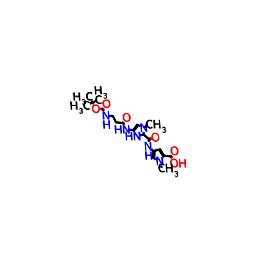 CN1C=C(NC(=O)CCNC(=O)OC(C)(C)C)NC1C(=O)Nc1cc(C(=O)O)n(C)c1